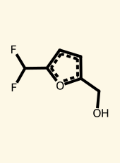 OCc1ccc(C(F)F)o1